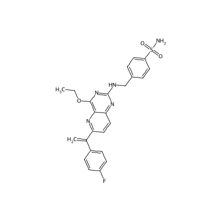 C=C(c1ccc(F)cc1)c1ccc2nc(NCc3ccc(S(N)(=O)=O)cc3)nc(OCC)c2n1